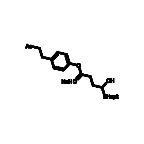 CCCCCCCC(O)CCC(=O)Oc1ccc(CCC(C)=O)cc1.[NaH]